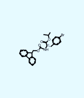 CC(C)OC(=O)[C@H](Cc1ccc(Br)cc1)NC(=O)OCC1c2ccccc2-c2ccccc21